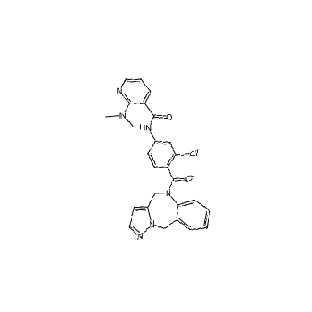 CN(C)c1ncccc1C(=O)Nc1ccc(C(=O)N2Cc3ccnn3Cc3ccccc32)c(Cl)c1